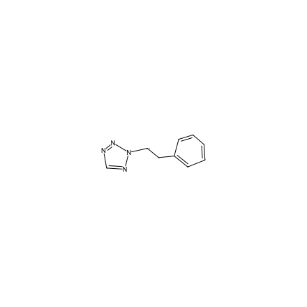 [CH](Cc1ccccc1)n1ncnn1